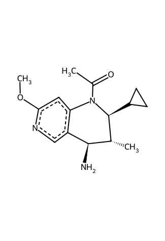 COc1cc2c(cn1)[C@H](N)[C@@H](C)[C@H](C1CC1)N2C(C)=O